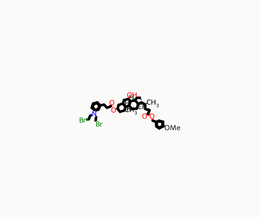 COc1ccc(COC(=O)CC[C@@H](C)[C@H]2CC[C@H]3[C@@H]4[C@H](O)CC5C[C@H](OC(=O)CCc6cccc(N(CCBr)CCBr)c6)CC[C@]5(C)[C@H]4CC[C@]23C)cc1